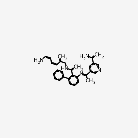 C=C(/C=C\C=C/N)CNC(=C)c1c(/N=C(\C)c2cncc(C(=C)N)c2)cccc1-c1ccccc1